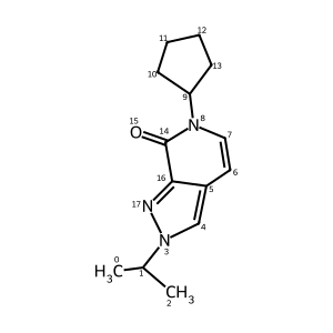 CC(C)n1cc2ccn(C3CCCC3)c(=O)c2n1